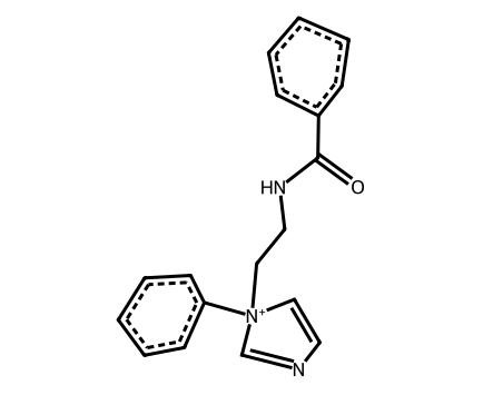 O=C(NCC[N+]1(c2ccccc2)C=CN=C1)c1ccccc1